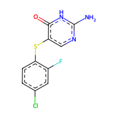 Nc1ncc(Sc2ccc(Cl)cc2F)c(=O)[nH]1